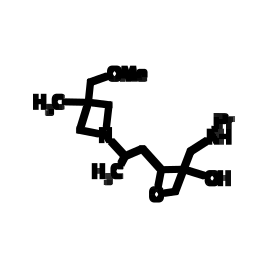 COCC1(C)CN(C(C)CC2OCC2(O)CNC(C)C)C1